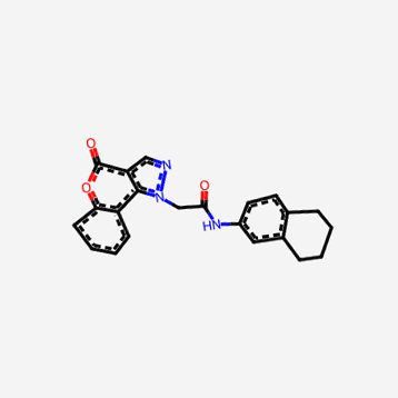 O=C(Cn1ncc2c(=O)oc3ccccc3c21)Nc1ccc2c(c1)CCCC2